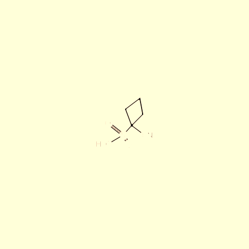 CS(=O)(=O)C1(C#N)CCC1